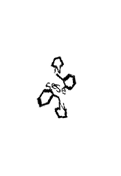 c1ccc([Se][Se]c2ccccc2CN2CCCC2)c(CN2CCCC2)c1